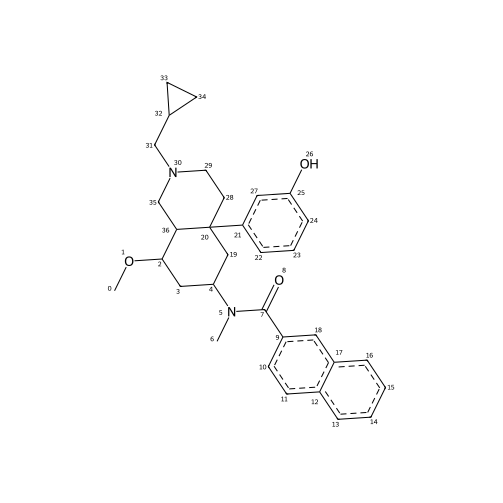 COC1CC(N(C)C(=O)c2ccc3ccccc3c2)CC2(c3cccc(O)c3)CCN(CC3CC3)CC12